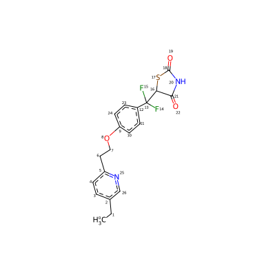 CCc1ccc(CCOc2ccc(C(F)(F)C3SC(=O)NC3=O)cc2)nc1